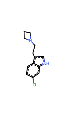 Clc1ccc2c(CCN3CCC3)c[nH]c2c1